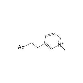 CC(=O)CCc1ccc[n+](C)c1